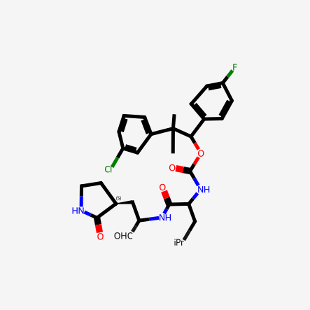 CC(C)CC(NC(=O)OC(c1ccc(F)cc1)C(C)(C)c1cccc(Cl)c1)C(=O)NC(C=O)C[C@@H]1CCNC1=O